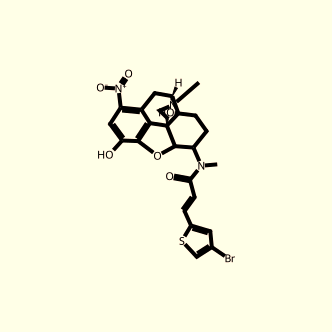 CN(C(=O)/C=C/c1cc(Br)cs1)C1CC[C@@]2(O)[C@H]3Cc4c([N+](=O)[O-])cc(O)c5c4[C@@]2(CCN3C)C1O5